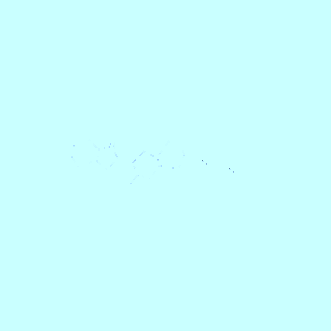 CN1CCN(c2ccc3cc(-c4nc5ccccc5s4)c(=O)oc3c2)CC1